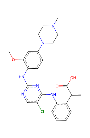 C=C(C(=O)O)c1ccccc1Nc1nc(Nc2ccc(N3CCN(C)CC3)cc2OC)ncc1Cl